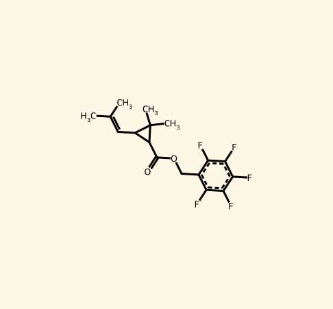 CC(C)=CC1C(C(=O)OCc2c(F)c(F)c(F)c(F)c2F)C1(C)C